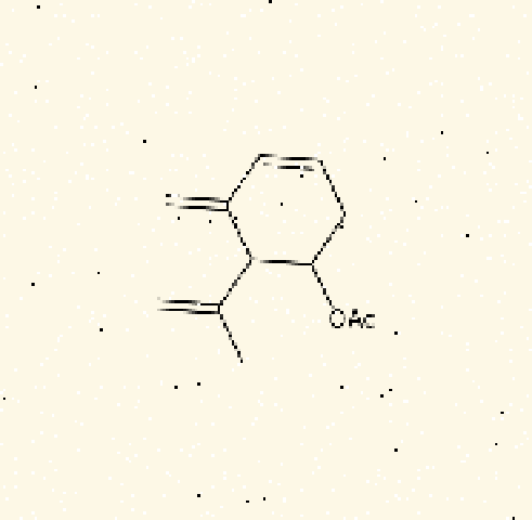 C=C(C)C1C(=C)C=CCC1OC(C)=O